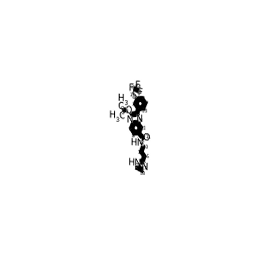 CC(C)Oc1nc2ccc(C(=O)NCCCc3ncc[nH]3)cc2nc1-c1cccc(SC(F)(F)F)c1